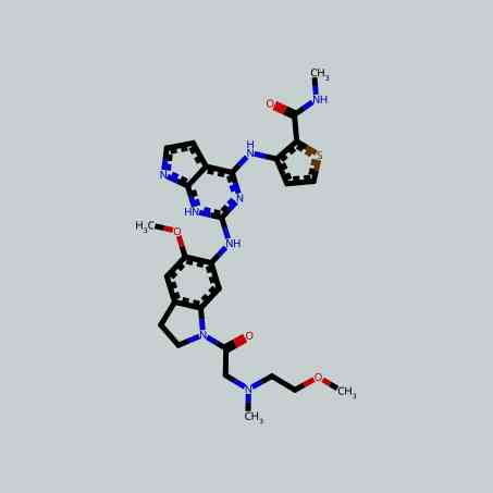 CNC(=O)c1sccc1Nc1nc(Nc2cc3c(cc2OC)CCN3C(=O)CN(C)CCOC)[nH]c2nccc1-2